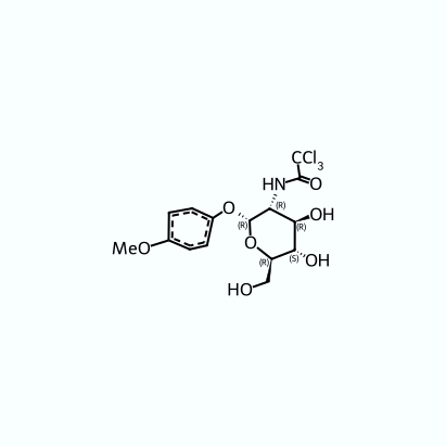 COc1ccc(O[C@H]2O[C@H](CO)[C@@H](O)[C@H](O)[C@H]2NC(=O)C(Cl)(Cl)Cl)cc1